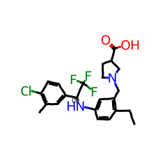 CCc1ccc(N[C@@H](c2ccc(Cl)c(C)c2)C(F)(F)F)cc1CN1CCC(C(=O)O)C1